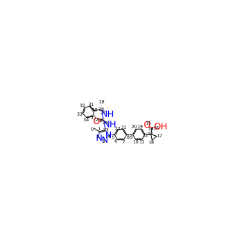 Cc1nnn(-c2ccc(-c3ccc(C4(C(=O)O)CC4)cc3)cc2)c1NC(=O)N[C@@H](C)c1ccccc1